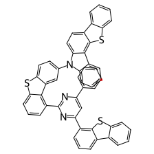 c1ccc(-c2cc(-c3cccc4c3sc3ccccc34)nc(-c3cccc4sc5ccc(-n6c7ccccc7c7c8sc9ccccc9c8ccc76)cc5c34)n2)cc1